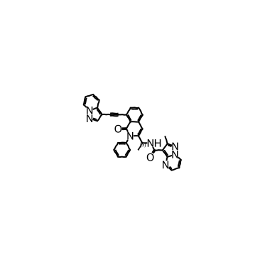 Cc1nn2cccnc2c1C(=O)N[C@@H](C)c1cc2cccc(C#Cc3cnn4ccccc34)c2c(=O)n1-c1ccccc1